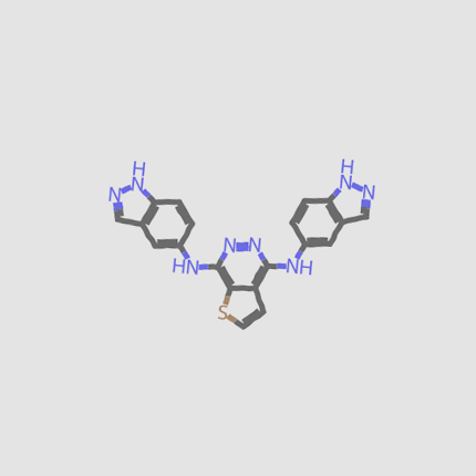 c1cc2c(Nc3ccc4[nH]ncc4c3)nnc(Nc3ccc4[nH]ncc4c3)c2s1